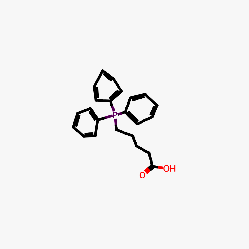 O=C(O)CCCC[P](c1ccccc1)(c1ccccc1)c1ccccc1